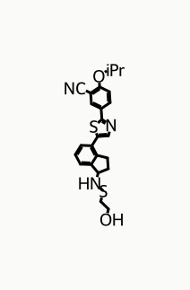 CC(C)Oc1ccc(-c2ncc(-c3cccc4c3CCC4NSCCO)s2)cc1C#N